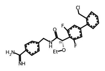 CCO[C@H](C(=O)NCc1ccc(C(=N)N)cc1)c1c(F)cc(-c2ccccc2CCl)cc1F